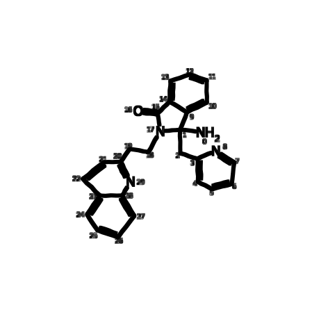 NC1(Cc2ccccn2)c2ccccc2C(=O)N1CCc1ccc2ccccc2n1